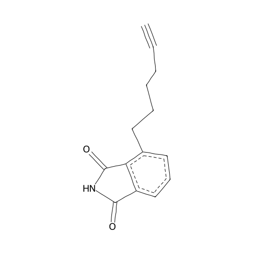 C#CCCCCc1cccc2c1C(=O)NC2=O